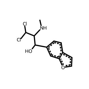 CNC(C(Cl)Cl)C(O)c1ccc2ccoc2c1